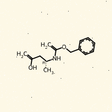 C=C(O)C[C@@H](C)NC(=C)OCc1ccccc1